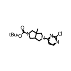 CC(C)(C)OC(=O)N1CC2CN(c3ccnc(Cl)n3)CC2(C)C1